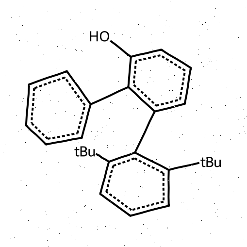 CC(C)(C)c1cccc(C(C)(C)C)c1-c1cccc(O)c1-c1ccccc1